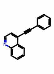 C(#Cc1ccnc2ccccc12)c1ccccc1